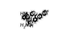 CCc1cc(Nc2nc(NC3CCOCC3)c(-c3cccc4[nH]ccc34)nc2C(N)=O)ccc1N1CCC(N2CCN(C)CC2)CC1